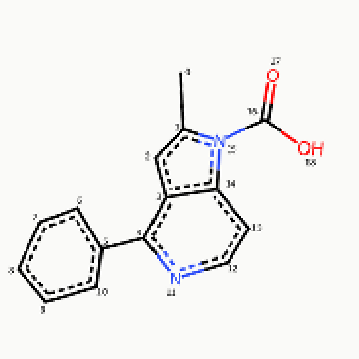 Cc1cc2c(-c3ccccc3)nccc2n1C(=O)O